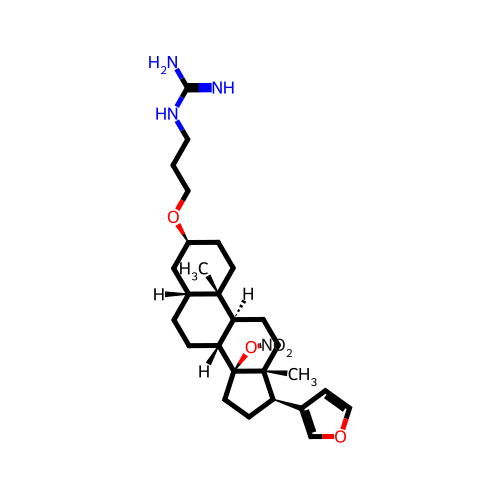 C[C@]12CC[C@H](OCCCNC(=N)N)C[C@H]1CC[C@@H]1[C@@H]2CC[C@]2(C)[C@@H](c3ccoc3)CC[C@]12O[N+](=O)[O-]